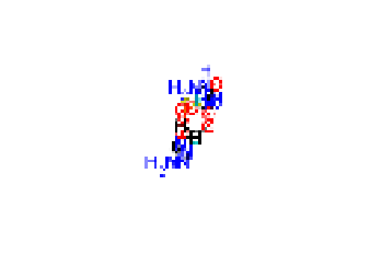 Nc1nc2c(nnn2[C@@H]2OCOCC[C@H]3[C@H](F)[C@H](n4ccc5c(N)ncnc54)O[C@@H]3COP(=O)(S)O[C@@H]2F)c(=O)[nH]1